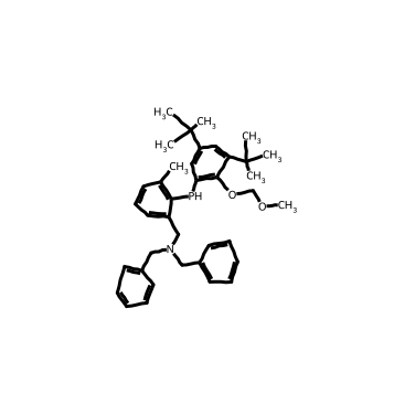 COCOc1c(Pc2c(C)cccc2CN(Cc2ccccc2)Cc2ccccc2)cc(C(C)(C)C)cc1C(C)(C)C